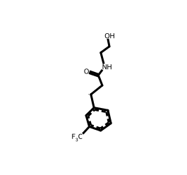 O=C(C[CH]c1cccc(C(F)(F)F)c1)NCCO